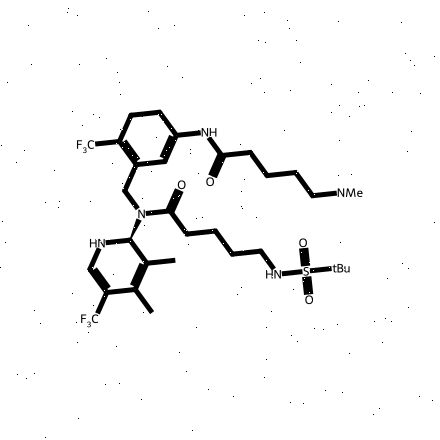 CNCCCCC(=O)NC1=CC(CN(C(=O)CCCCNS(=O)(=O)C(C)(C)C)[C@@H]2NC=C(C(F)(F)F)C(C)=C2C)=C(C(F)(F)F)CC1